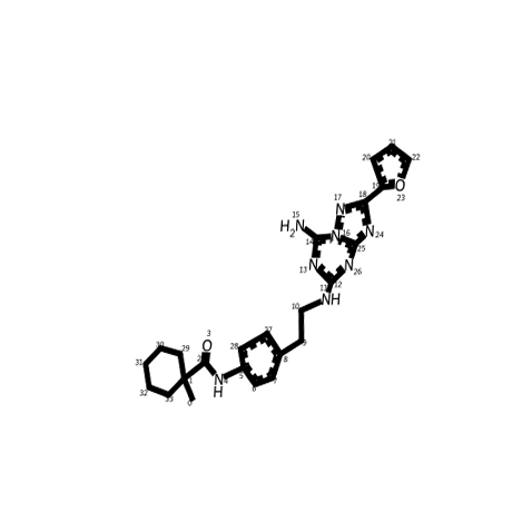 CC1(C(=O)Nc2ccc(CCNc3nc(N)n4nc(-c5ccco5)nc4n3)cc2)CCCCC1